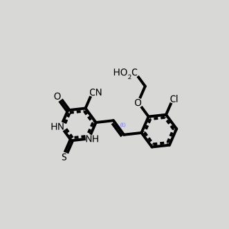 N#Cc1c(/C=C/c2cccc(Cl)c2OCC(=O)O)[nH]c(=S)[nH]c1=O